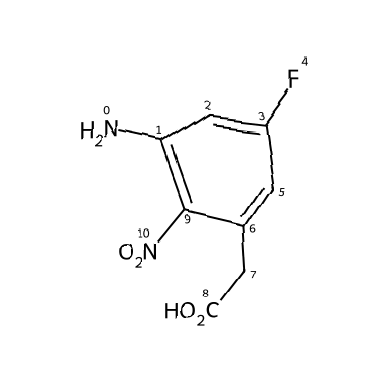 Nc1cc(F)cc(CC(=O)O)c1[N+](=O)[O-]